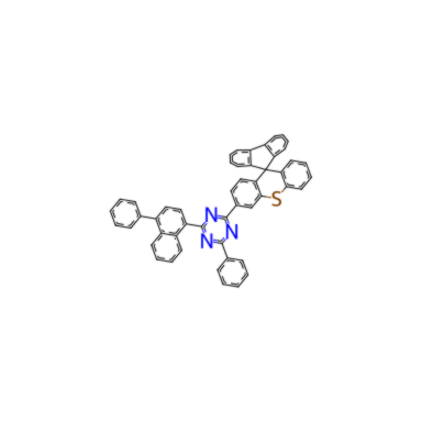 c1ccc(-c2nc(-c3ccc4c(c3)Sc3ccccc3C43c4ccccc4-c4ccccc43)nc(-c3ccc(-c4ccccc4)c4ccccc34)n2)cc1